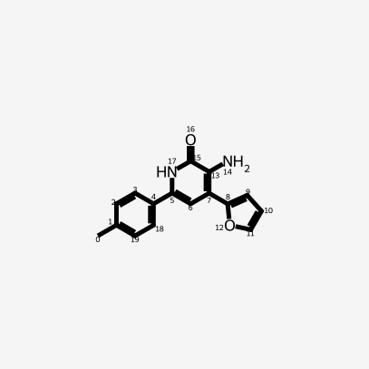 Cc1ccc(-c2cc(-c3ccco3)c(N)c(=O)[nH]2)cc1